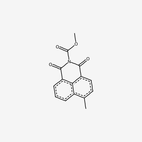 COC(=O)N1C(=O)c2cccc3c(C)ccc(c23)C1=O